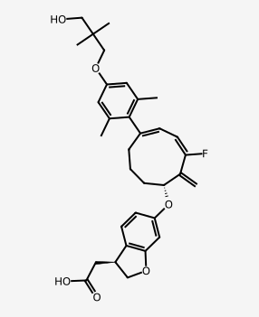 C=C1/C(F)=C\C=C(\c2c(C)cc(OCC(C)(C)CO)cc2C)CCC[C@H]1Oc1ccc2c(c1)OC[C@H]2CC(=O)O